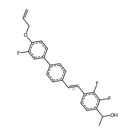 C=CCOc1ccc(-c2ccc(/C=C/c3ccc(C(C)O)c(F)c3F)cc2)cc1F